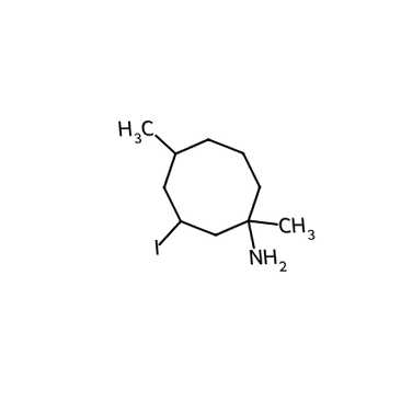 CC1CCCC(C)(N)CC(I)C1